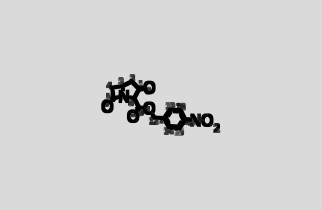 O=C1CC2CC(=O)N2C1C(=O)OCc1ccc([N+](=O)[O-])cc1